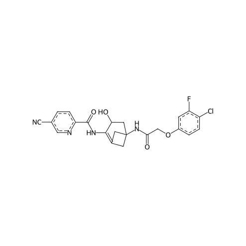 N#Cc1ccc(C(=O)NC2=C3CC(NC(=O)COc4ccc(Cl)c(F)c4)(C3)CC2O)nc1